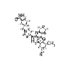 Cc1cc(C#N)cc(C)c1Oc1nc(NC2CCN(Cc3cccc(C(N)=O)c3)CC2)nc2c1SCCC2